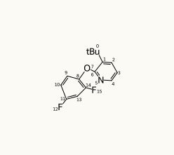 CC(C)(C)c1cccnc1Oc1ccc(F)cc1F